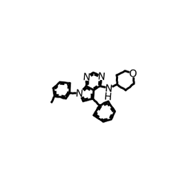 Cc1cccc(-n2cc(-c3ccccc3)c3c(NC4CCOCC4)ncnc32)c1